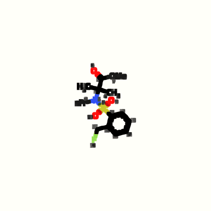 CCCN(C(C)(C)C(=O)OC)S(=O)(=O)c1ccccc1CF